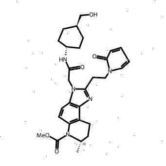 COC(=O)N1c2ccc3c(nc(CCn4ccccc4=O)n3CC(=O)N[C@H]3CC[C@H](CO)CC3)c2CC[C@@H]1C